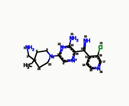 CC1(CN)CCN(c2cnc(C(=N)c3ccncc3Cl)c(N)n2)CC1